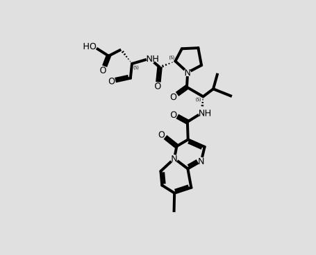 Cc1ccn2c(=O)c(C(=O)N[C@H](C(=O)N3CCC[C@H]3C(=O)N[C@H](C=O)CC(=O)O)C(C)C)cnc2c1